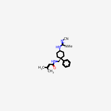 CN/C(=N\C#N)N[C@H]1CC[C@](CNC(=O)C=C(C)C)(c2ccccc2)CC1